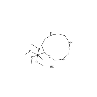 C[O][Ti]([CH3])([O]C)([O]C)([O]C)[N]1CCNCCNCCNCC1.Cl